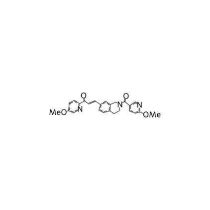 COc1ccc(C(=O)/C=C/c2ccc3c(c2)CN(C(=O)c2ccc(OC)nc2)CC3)nc1